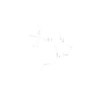 CCO[n+]1ccn(C)c1.O=S(=O)([O-])O